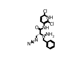 [N-]=[N+]=NC[C@H](C(=O)NC1=C(Cl)NC(Cl)C=C1)N(N)Cc1ccccc1